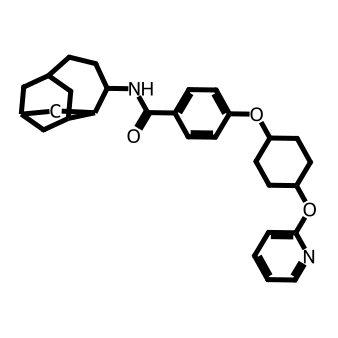 O=C(NC1CCC2CC3CC(C2)C1C3)c1ccc(OC2CCC(Oc3ccccn3)CC2)cc1